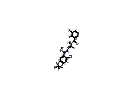 C=N/C(=C\N=C(/C)NC(=O)c1cccc(F)c1C)c1cc2c(cc1Cl)OC(F)(F)O2